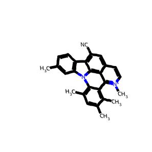 Cc1ccc2c3c(C#N)cc4cc[n+](C)c5c6c(C)c(C)cc(C)c6n(c2c1)c3c45